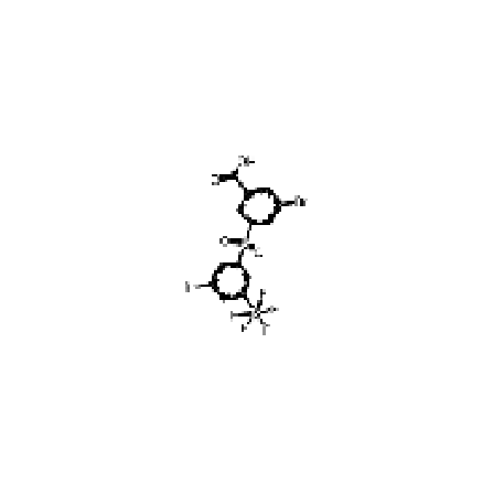 O=C(O)c1cc(Br)cc(S(=O)(=O)c2cc(Br)cc(S(F)(F)(F)(F)F)c2)c1